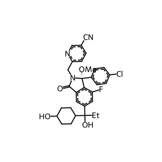 CCC(O)(c1cc(F)c2c(c1)C(=O)N(Cc1ccc(C#N)cn1)[C@@]2(OC)c1ccc(Cl)cc1)C1CCC(O)CC1